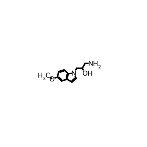 COc1ccc2c(ccn2CC(O)CN)c1